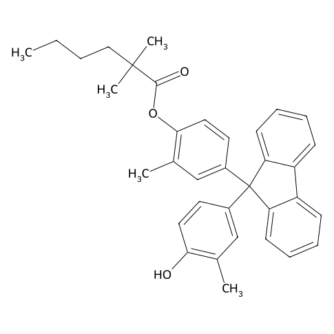 CCCCC(C)(C)C(=O)Oc1ccc(C2(c3ccc(O)c(C)c3)c3ccccc3-c3ccccc32)cc1C